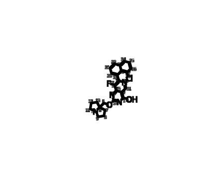 Oc1nc(OCC23CCCN2CCC3)nc2c(F)c(-c3cccc4cccc(Cl)c34)ncc12